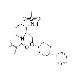 CC(=O)C(=O)N1CCC[C@H](NS(C)(=O)=O)[C@@H]1CO[C@H]1CC[C@@H](c2ccccc2)CC1